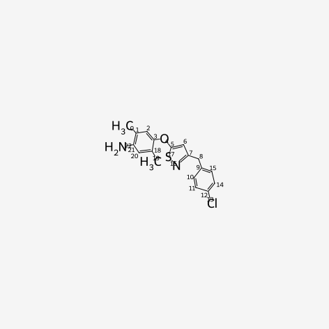 Cc1cc(Oc2cc(Cc3ccc(Cl)cc3)ns2)c(C)cc1N